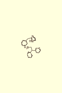 BCC(c1ccccc1)c1ccccc1.c1ccc(Cc2ncc[nH]2)cc1